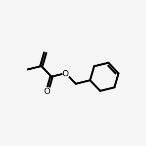 C=C(C)C(=O)OCC1CC=CCC1